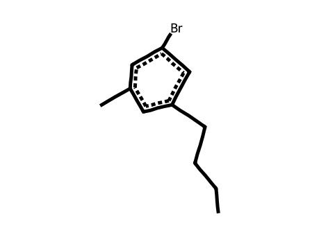 CCCCc1cc(C)cc(Br)c1